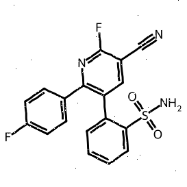 N#Cc1cc(-c2ccccc2S(N)(=O)=O)c(-c2ccc(F)cc2)nc1F